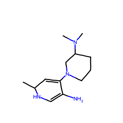 CC1C=C(N2CCCC(N(C)C)C2)C(N)=CN1